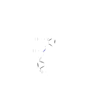 C/C(=C\Cc1ccccc1C(=O)O)COc1ccc([N+](=O)[O-])cc1